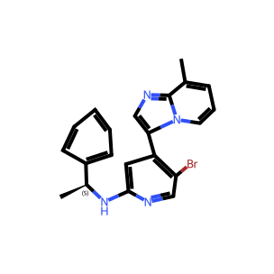 Cc1cccn2c(-c3cc(N[C@@H](C)c4ccccc4)ncc3Br)cnc12